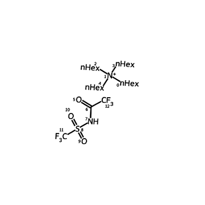 CCCCCC[N+](CCCCCC)(CCCCCC)CCCCCC.O=C(NS(=O)(=O)C(F)(F)F)C(F)(F)F